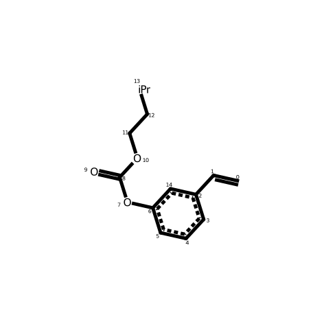 C=Cc1cccc(OC(=O)OCCC(C)C)c1